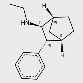 CCN[C@H]1[C@@H]2CC[C@@H](C2)[C@@H]1c1ccccc1